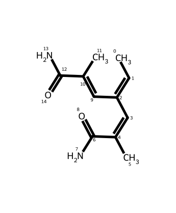 CC=C(C=C(C)C(N)=O)C=C(C)C(N)=O